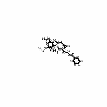 Cc1nc(N)c2nc(CC3CC3)n(CCCCCSc3ccccc3)c2c1C